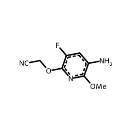 COc1nc(OCC#N)c(F)cc1N